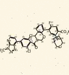 Cn1nnc2c(-c3cc(Cl)c(C(=O)N4COc5c(cccc5-c5cc(N6C7CCC6COC7)c(C(=O)O)cc5F)C4)c(Cl)c3)ccnc21